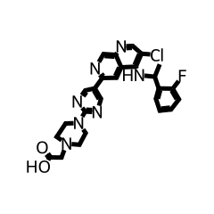 CC(Nc1c(Cl)cnc2cnc(-c3cnc(N4CCN(CC(=O)O)CC4)nc3)cc12)c1ccccc1F